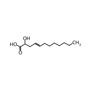 CCCCCCC/C=C/CC(O)C(=O)O